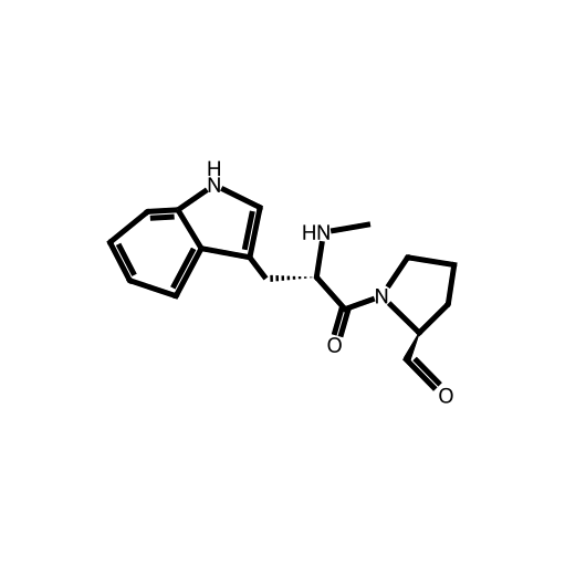 CN[C@@H](Cc1c[nH]c2ccccc12)C(=O)N1CCC[C@H]1C=O